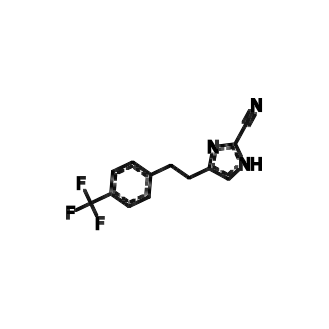 N#Cc1nc(CCc2ccc(C(F)(F)F)cc2)c[nH]1